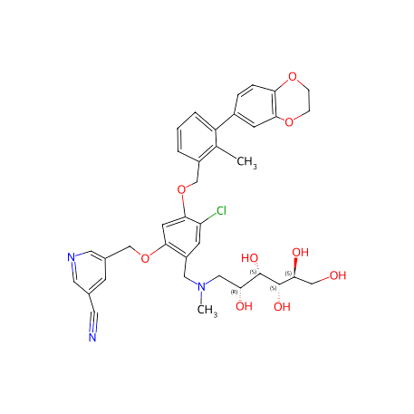 Cc1c(COc2cc(OCc3cncc(C#N)c3)c(CN(C)C[C@@H](O)[C@H](O)[C@@H](O)[C@@H](O)CO)cc2Cl)cccc1-c1ccc2c(c1)OCCO2